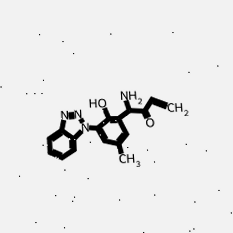 C=CC(=O)C(N)c1cc(C)cc(-n2nnc3ccccc32)c1O